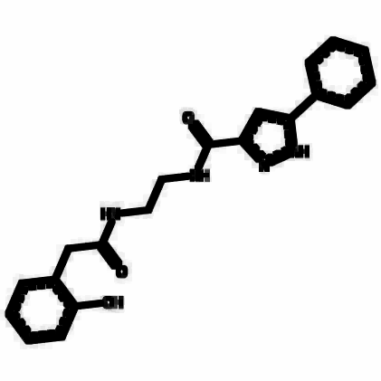 O=C(Cc1ccccc1O)NCCNC(=O)c1cc(-c2ccccc2)[nH]n1